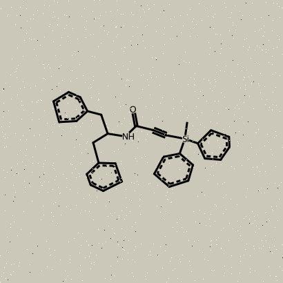 C[Si](C#CC(=O)NC(Cc1ccccc1)Cc1ccccc1)(c1ccccc1)c1ccccc1